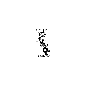 CNC(=O)c1ccc(S(=O)(=O)C[C@](C)(O)C(=O)Nc2nnc(C#N)c(C(F)(F)F)n2)cc1F